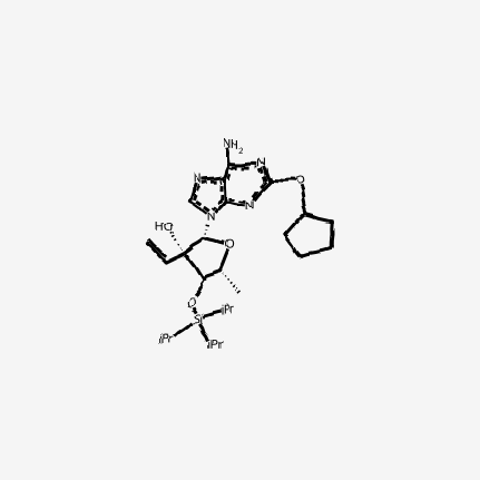 C=C[C@]1(O)[C@H](O[Si](C(C)C)(C(C)C)C(C)C)[C@@H](C)O[C@H]1n1cnc2c(N)nc(OC3CCCC3)nc21